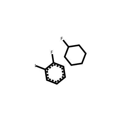 FC1CCCCC1.Fc1ccccc1I